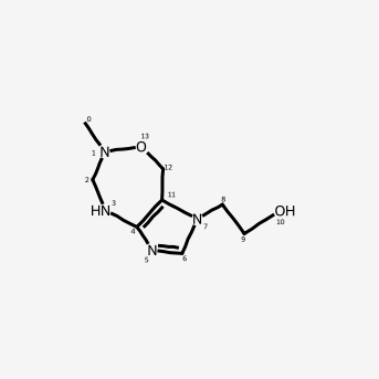 CN1CNc2ncn(CCO)c2CO1